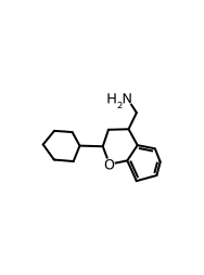 NCC1CC(C2CCCCC2)Oc2ccccc21